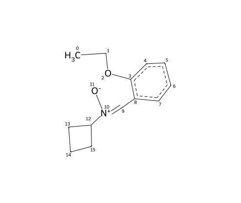 CCOc1ccccc1C=[N+]([O-])C1CCC1